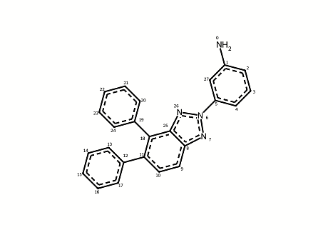 Nc1cccc(-n2nc3ccc(-c4ccccc4)c(-c4ccccc4)c3n2)c1